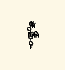 Cc1noc(-c2cccc(C3=Nc4ccc(-c5ccc(F)cc5)cc4NC(=O)C3)c2)n1